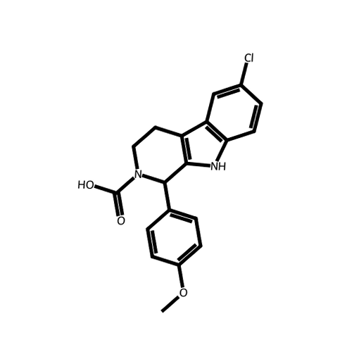 COc1ccc(C2c3[nH]c4ccc(Cl)cc4c3CCN2C(=O)O)cc1